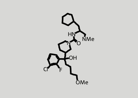 CNCC(CC1CCCCC1)NC(=O)N1CCCC(C(O)(CCCCOC)c2cccc(Cl)c2F)C1